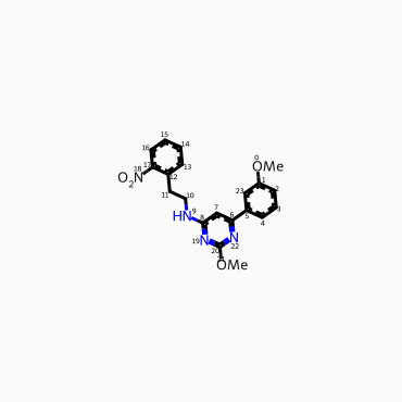 COc1cccc(-c2cc(NCCc3ccccc3[N+](=O)[O-])nc(OC)n2)c1